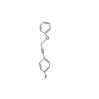 Fc1ccc(C#CCOc2ccccc2)cc1